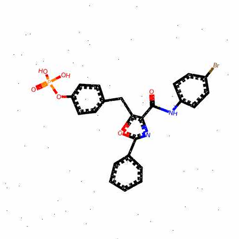 O=C(Nc1ccc(Br)cc1)c1nc(-c2ccccc2)oc1Cc1ccc(OP(=O)(O)O)cc1